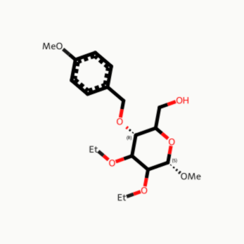 CCOC1C(OCC)[C@H](OCc2ccc(OC)cc2)C(CO)O[C@@H]1OC